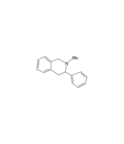 CC(C)(C)N1Cc2ccccc2CC1c1ccccc1